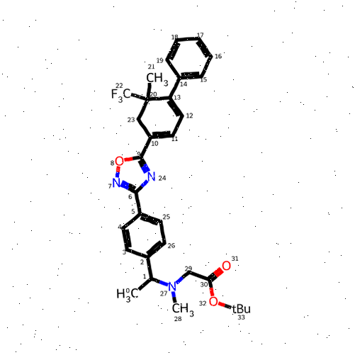 CC(c1ccc(-c2noc(C3=CC=C(c4ccccc4)C(C)(C(F)(F)F)C3)n2)cc1)N(C)CC(=O)OC(C)(C)C